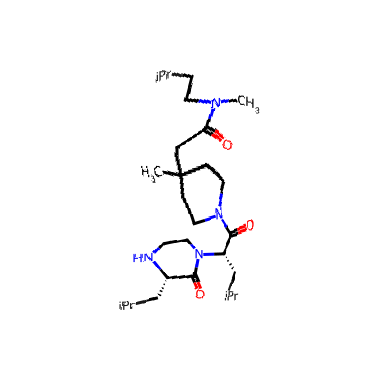 CC(C)CCN(C)C(=O)CC1(C)CCN(C(=O)[C@H](CC(C)C)N2CCN[C@@H](CC(C)C)C2=O)CC1